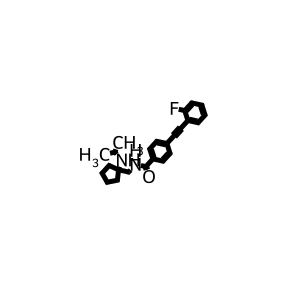 CC(C)NC1(CNC(=O)c2ccc(C#Cc3ccccc3F)cc2)CCCC1